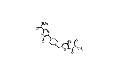 CNC(=O)c1ccc(N2CCN(Cc3cc4[nH]c(=O)n(C)c(=O)c4s3)CC2)c(Cl)n1